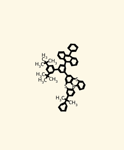 CC(C)(C)c1cc(-c2cc(-c3cc4c5c(c3)Sc3cc(C(C)(C)c6ccccc6)ccc3B5c3ccccc3S4)cc(-c3c4ccccc4c(-c4ccccc4)c4ccccc34)c2)cc(C(C)(C)C)c1